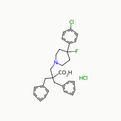 Cl.O=C(O)C(Cc1ccccc1)(Cc1ccccc1)CN1CCC(F)(c2ccc(Cl)cc2)CC1